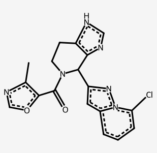 Cc1ncoc1C(=O)N1CCc2[nH]cnc2C1c1cc2cccc(Cl)n2n1